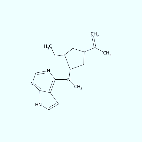 C=C(C)C1CC(CC)C(N(C)c2ncnc3[nH]ccc23)C1